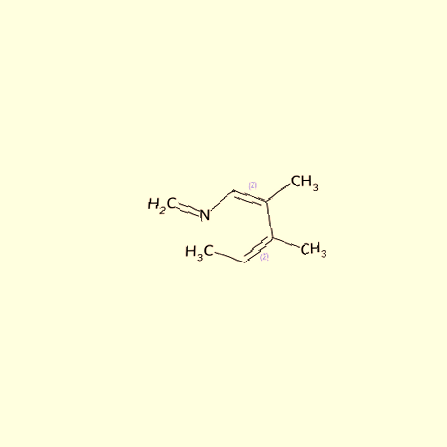 C=N/C=C(C)\C(C)=C/C